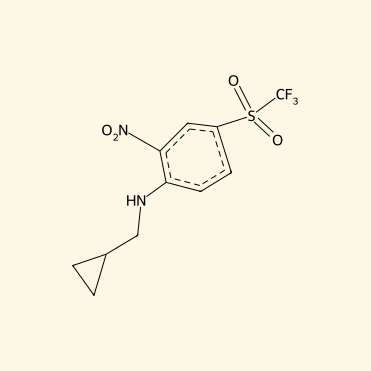 O=[N+]([O-])c1cc(S(=O)(=O)C(F)(F)F)ccc1NCC1CC1